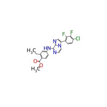 CCc1cc(Nc2nccn3c(-c4ccc(Cl)c(F)c4F)cnc23)ccc1C(=O)OC